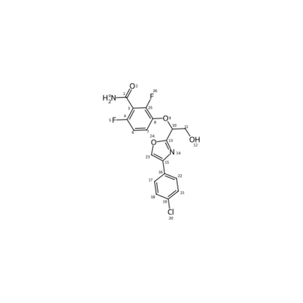 NC(=O)c1c(F)ccc(OC(CO)c2nc(-c3ccc(Cl)cc3)co2)c1F